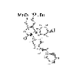 CC[C@@H](C)Oc1cc2c(cc1OC)CC(=O)N(c1ccc(N(C)Cc3ccncn3)cc1)C2c1ccc(Cl)cc1